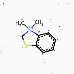 C[N+]1(C)CSc2ccccc21